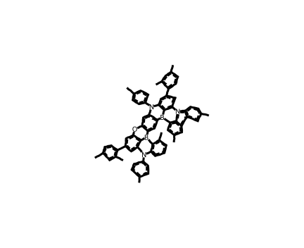 Cc1ccc(N2c3cccc(C)c3B3c4cc5c(cc4Oc4cc(-c6ccc(C)cc6C)cc2c43)N(c2ccc(C)cc2)c2cc(-c3ccc(C)cc3C)cc3c2B5c2cc(C)cc4c5cc(C)ccc5n-3c24)cc1